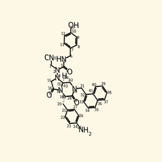 N#CCN(C(=O)NCc1ccc(O)cc1)N1CC(=O)N2[C@@H](Cc3ccc(N)cc3)C(=O)N(Cc3cccc4ccccc34)C[C@@H]21